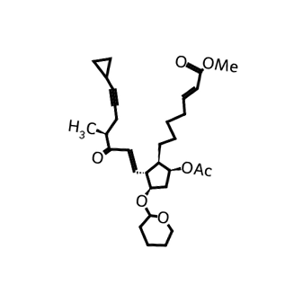 COC(=O)/C=C/CCCC[C@@H]1[C@@H](/C=C/C(=O)[C@@H](C)CC#CC2CC2)[C@H](OC2CCCCO2)C[C@@H]1OC(C)=O